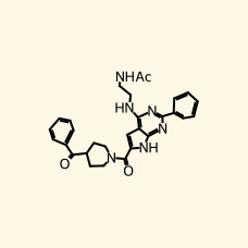 CC(=O)NCCNc1nc(-c2ccccc2)nc2[nH]c(C(=O)N3CCC(C(=O)c4ccccc4)CC3)cc12